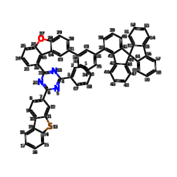 c1ccc(-c2nc(-c3ccc4c(c3)sc3ccccc34)nc(-c3cccc4oc5ccc(-c6cccc(-c7cccc8c7-c7ccccc7C87c8ccccc8-c8ccccc87)c6)cc5c34)n2)cc1